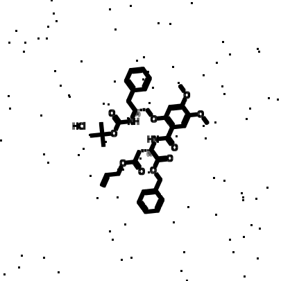 C=CCOC(=O)C[C@H](NC(=O)c1cc(OC)c(OC)cc1OC[C@@H](Cc1ccccc1)NC(=O)OC(C)(C)C)C(=O)OCc1ccccc1.Cl